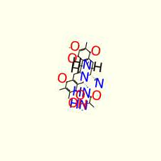 CNC(C)C(=O)NC[C@@H]1C2=C(C[C@H]3[C@@H]4C5=C(C[C@H]([C@H](C#N)N13)N4C)C(=O)C(C)=C(OC)C5=O)C(=O)C(C)=C(CO)C2=O